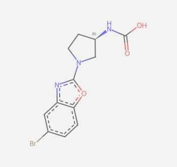 O=C(O)N[C@@H]1CCN(c2nc3cc(Br)ccc3o2)C1